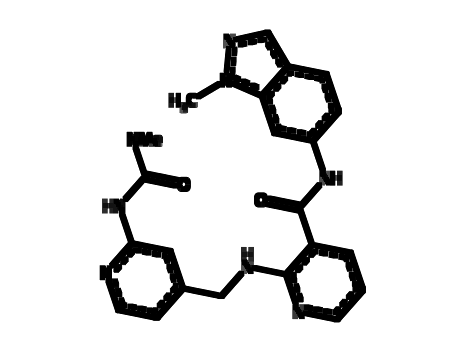 CNC(=O)Nc1cc(CNc2ncccc2C(=O)Nc2ccc3cnn(C)c3c2)ccn1